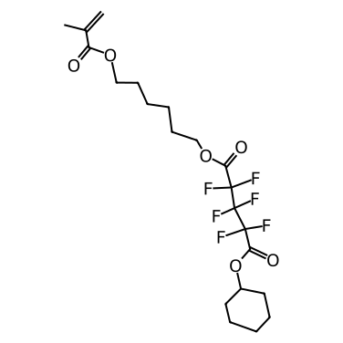 C=C(C)C(=O)OCCCCCCOC(=O)C(F)(F)C(F)(F)C(F)(F)C(=O)OC1CCCCC1